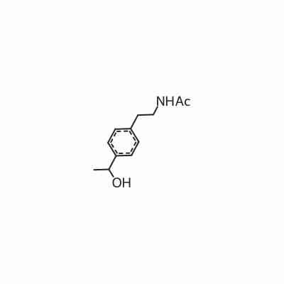 CC(=O)NCCc1ccc(C(C)O)cc1